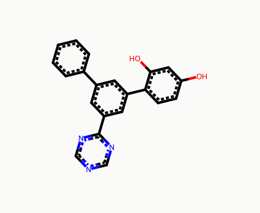 Oc1ccc(-c2cc(-c3ccccc3)cc(-c3ncncn3)c2)c(O)c1